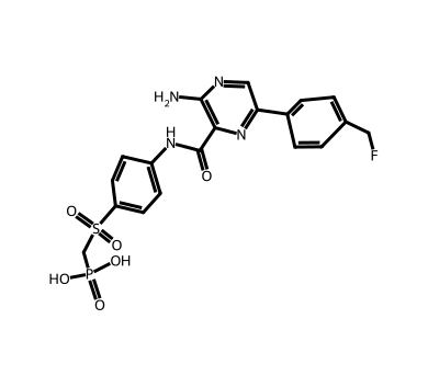 Nc1ncc(-c2ccc(CF)cc2)nc1C(=O)Nc1ccc(S(=O)(=O)CP(=O)(O)O)cc1